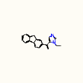 C=C(c1ccc2c(c1)Cc1ccccc1-2)c1cncn1CC